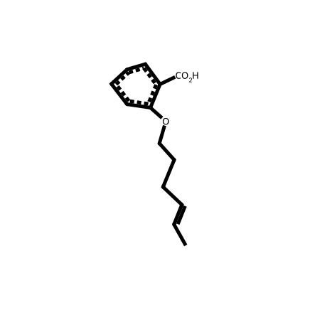 CC=CCCCOc1ccccc1C(=O)O